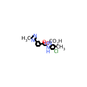 Cc1cncc(-c2cccc(C(=O)CC(=O)Nc3cc(Cl)c(C)cc3NC(=O)O)c2)n1